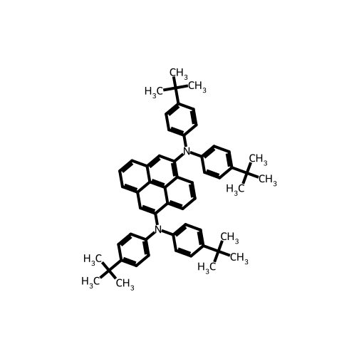 CC(C)(C)c1ccc(N(c2ccc(C(C)(C)C)cc2)c2cc3cccc4cc(N(c5ccc(C(C)(C)C)cc5)c5ccc(C(C)(C)C)cc5)c5cccc2c5c34)cc1